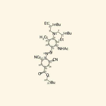 CCCCC(CC)CN(CC(CC)CCCC)c1cc(NC(C)=O)c(N=Nc2c(C#N)cc(C(=O)OCC(C)CC)cc2C#N)cc1C